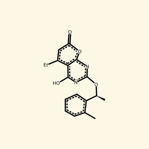 CCc1cc(=O)oc2nc(O[C@@H](C)c3ccccc3C)nc(O)c12